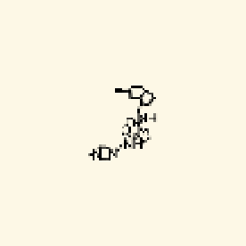 C#Cc1ccc2cccc(CNC(=O)N3CCC[C@H]3C(=O)NCCN3CCN(C)CC3)c2c1